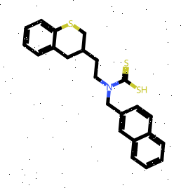 S=C(S)N(CCC1CSc2ccccc2C1)Cc1ccc2ccccc2c1